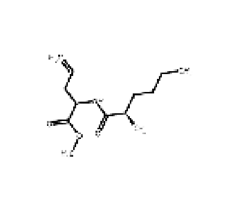 C=CCC(NC(=O)[C@H](C)CCCC)C(=O)OC